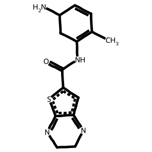 CC1=C(NC(=O)c2cc3c(s2)=NCCN=3)CC(N)C=C1